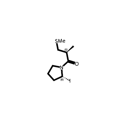 CSC[C@@H](C)C(=O)N1CCC[C@H]1I